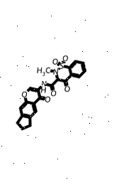 CN1C(C(=O)Nc2coc3cc4c(cc3c2=O)CCC4)C(=O)c2ccccc2S1(=O)=O